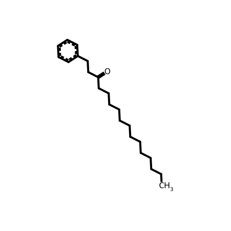 CCCCCCCCCCCCCC(=O)CCc1ccccc1